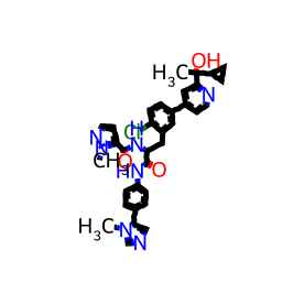 Cn1cncc1-c1ccc(NC(=O)C(Cc2cc(-c3ccnc(C(C)(O)C4CC4)c3)ccc2Cl)NC(=O)c2ccnn2C)cc1